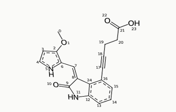 COc1cc[nH]c1C=C1C(=O)Nc2cccc(C#CCCC(=O)O)c21